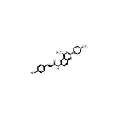 CCCc1ccc(/C=C/C(=O)Nc2ccc3nc(N4CCN(C)CC4)nc(C)c3c2)cc1